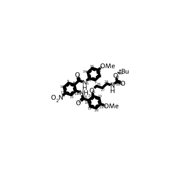 COc1ccc(NC(=O)c2ccc([N+](=O)[O-])cc2NC(=O)c2ccc(OC)cc2OCCCNC(=O)OC(C)(C)C)cc1